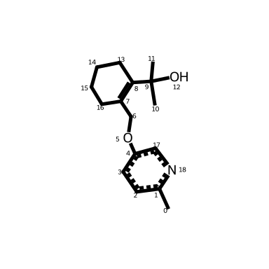 Cc1ccc(OCC2=C(C(C)(C)O)CCCC2)cn1